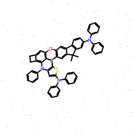 CC1(C)c2cc(N(c3ccccc3)c3ccccc3)ccc2-c2cc3c(cc21)B1c2sc(N(c4ccccc4)c4ccccc4)cc2N(c2ccccc2)c2c4c(cc(c21)O3)CC4